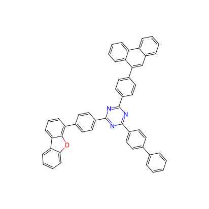 c1ccc(-c2ccc(-c3nc(-c4ccc(-c5cc6ccccc6c6ccccc56)cc4)nc(-c4ccc(-c5cccc6c5oc5ccccc56)cc4)n3)cc2)cc1